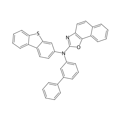 c1ccc(-c2cccc(N(c3ccc4c(c3)sc3ccccc34)c3nc4ccc5ccccc5c4o3)c2)cc1